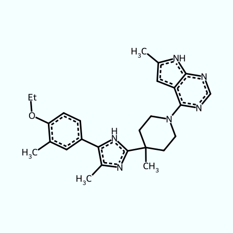 CCOc1ccc(-c2[nH]c(C3(C)CCN(c4ncnc5[nH]c(C)cc45)CC3)nc2C)cc1C